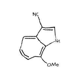 COc1cccc2c(C#N)c[nH]c12